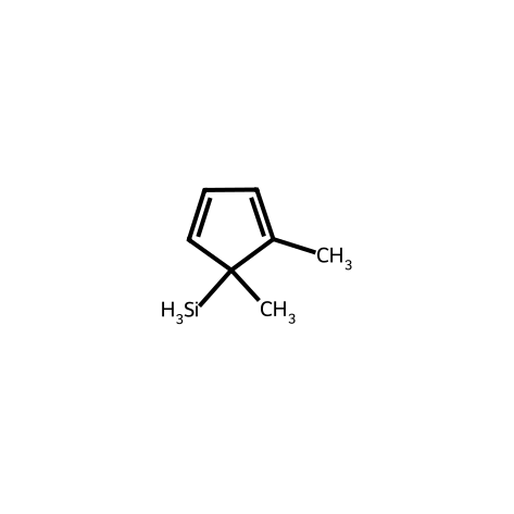 CC1=CC=CC1(C)[SiH3]